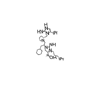 CC(C)CCCN1C(=N)N(C(CC2CCCCC2)CN2CCCC2CN2C(=N)NCC2C(C)C)CC1[C@@H](C)O